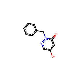 O=c1cc(O)cnn1Cc1ccccc1